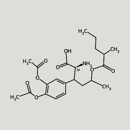 CCCC(C)C(=O)OC(C)CC(c1ccc(OC(C)=O)c(OC(C)=O)c1)[C@H](N)C(=O)O